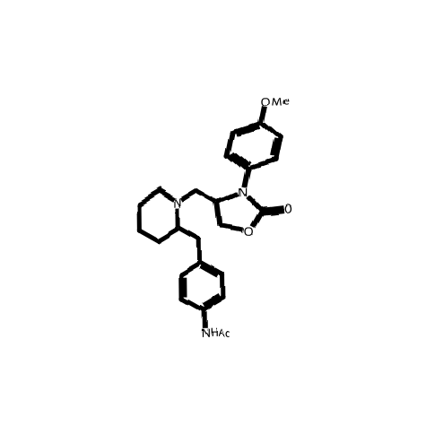 COc1ccc(N2C(=O)OCC2CN2CCCCC2Cc2ccc(NC(C)=O)cc2)cc1